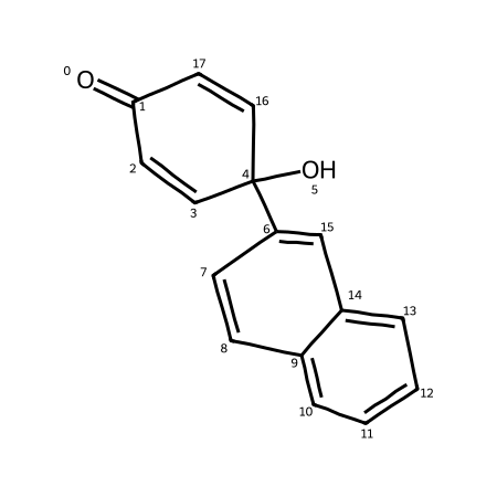 O=C1C=CC(O)(c2ccc3ccccc3c2)C=C1